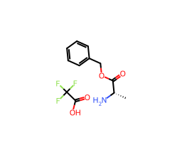 C[C@H](N)C(=O)OCc1ccccc1.O=C(O)C(F)(F)F